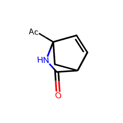 CC(=O)C12C=CC(C1)C(=O)N2